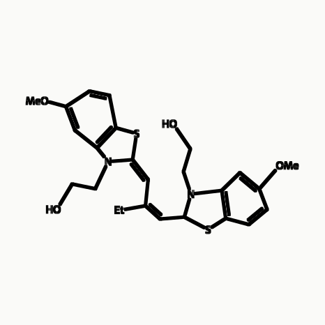 CCC(=CC1Sc2ccc(OC)cc2N1CCO)C=C1Sc2ccc(OC)cc2N1CCO